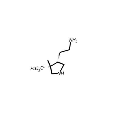 CCOC(=O)[C@@]1(C)CNC[C@H]1CCN